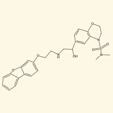 CN(C)S(=O)(=O)N1CCOc2ccc(C(O)CNCCOc3ccc4c(c3)oc3ccccc34)cc21